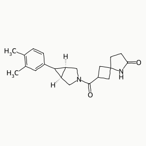 Cc1ccc(C2[C@H]3CN(C(=O)C4CC5(CCC(=O)N5)C4)C[C@@H]23)cc1C